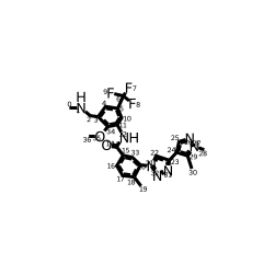 CNCc1cc(C(F)(F)F)cc(NC(=O)c2ccc(C)c(-n3cc(-c4cnn(C)c4C)nn3)c2)c1OC